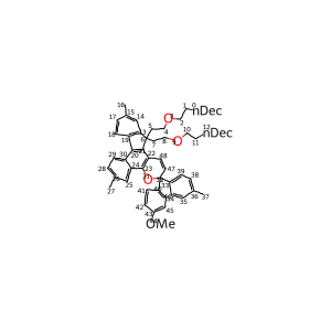 CCCCCCCCCCCCOCCC1(CCOCCCCCCCCCCCC)c2cc(C)ccc2-c2c1c1c(c3cc(C)ccc23)OC(c2ccc(C)cc2)(c2ccc(OC)cc2)C=C1